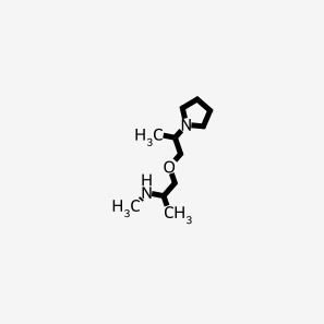 CNC(C)COCC(C)N1CCCC1